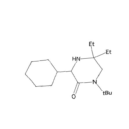 CCC1(CC)CN(C(C)(C)C)C(=O)C(C2CCCCC2)N1